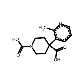 Cc1ncccc1C1(C(=O)O)CCN(C(=O)O)CC1